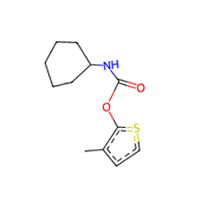 Cc1ccsc1OC(=O)NC1CCCCC1